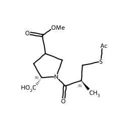 COC(=O)C1C[C@@H](C(=O)O)N(C(=O)[C@H](C)CSC(C)=O)C1